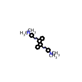 CN(C)c1ccc(/C=C/c2cc3c4ccccc4c(/C=C/c4ccc(N(C)C)cc4)cc3c3ccccc23)cc1